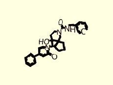 O=C(NCc1ccccc1)N1CCC(O)(Cn2ccc(-c3ccccc3)cc2=O)C2(CCCC2)C1